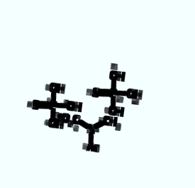 CCOC(=O)N(C)C(C)=O.OP(O)(O)=S.OP(O)(O)=S